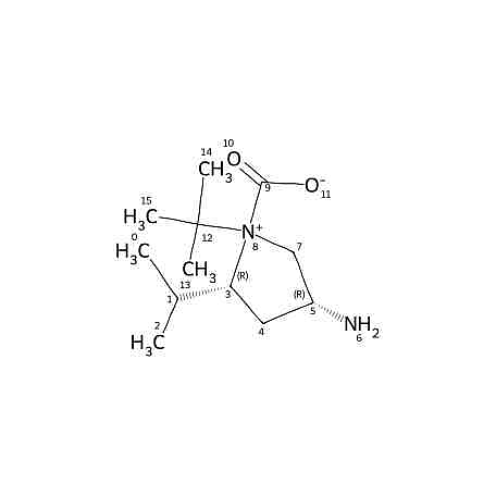 CC(C)[C@H]1C[C@@H](N)C[N+]1(C(=O)[O-])C(C)(C)C